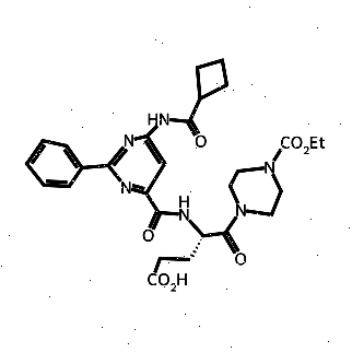 CCOC(=O)N1CCN(C(=O)[C@H](CCC(=O)O)NC(=O)c2cc(NC(=O)C3CCC3)nc(-c3ccccc3)n2)CC1